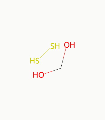 OCO.SS